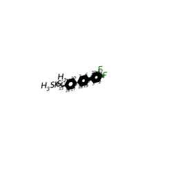 Fc1ccc(-c2ccc([C@H]3CC[C@H](C[SiH2][SiH3])CC3)cc2)cc1F